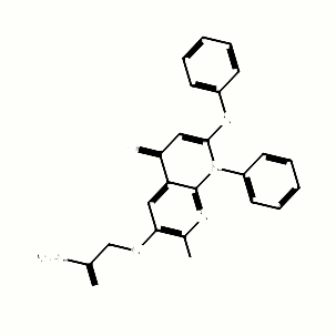 CNC(=O)CNc1cc2c(=O)cc(Nc3ccccc3)n(-c3ccccc3)c2nc1C